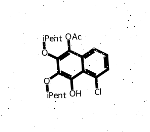 CCCC(C)Oc1c(OC(C)CCC)c(O)c2c(Cl)cccc2c1OC(C)=O